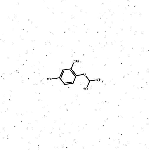 CC(O)Oc1ccc(C(C)(C)C)cc1C(C)(C)C